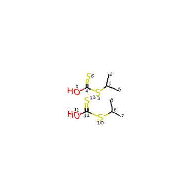 CC(C)SC(O)=S.CC(C)SC(O)=S